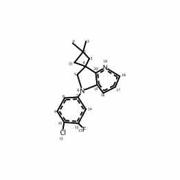 CC1(C)CC2(CN(c3ccc(Cl)c(F)c3)c3cccnc32)C1